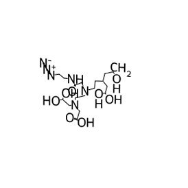 C=C(O)CC(CCN(CCN(CC(=O)O)CC(O)O)CC(=O)NCCN=[N+]=[N-])CC(O)O